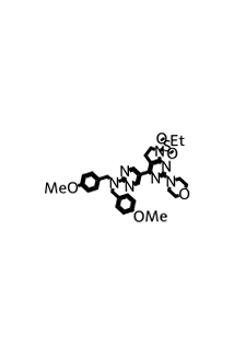 CCS(=O)(=O)N1CCc2c(-c3cnc(N(Cc4ccc(OC)cc4)Cc4ccc(OC)cc4)nc3)nc(N3CCOCC3)nc21